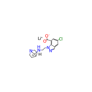 O=C([O-])c1cc(Cl)cc2cnn(CCN[C@@H]3CN4CCC3CC4)c12.[Li+]